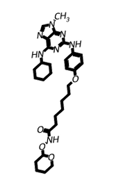 Cn1cnc2c(NC3CCCCC3)nc(Nc3ccc(OCCCCCCC(=O)NOC4CCCCO4)cc3)nc21